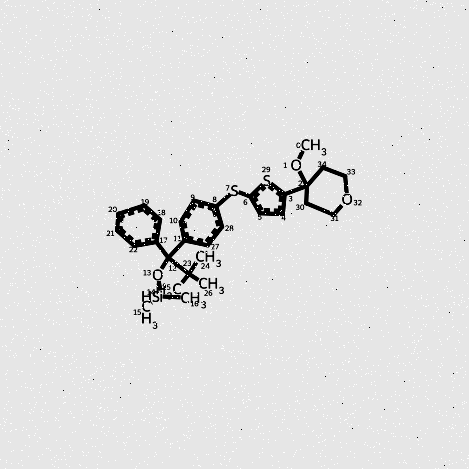 COC1(c2ccc(Sc3ccc(C(O[SiH](C)C)(c4ccccc4)C(C)(C)C)cc3)s2)CCOCC1